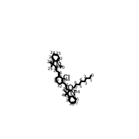 CCCCCCCCOC1(/C=C/C2=C(Cl)C(=C/C=C3\N(C)c4ccccc4C3(C)C)/CCC2)N(C)c2ccccc2C1(C)C